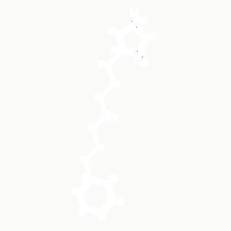 c1ccc(CCCOCCCc2c[nH]cn2)cc1